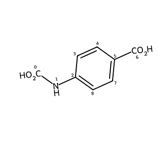 O=C(O)Nc1ccc(C(=O)O)cc1